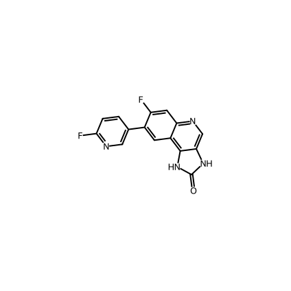 O=c1[nH]c2cnc3cc(F)c(-c4ccc(F)nc4)cc3c2[nH]1